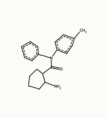 Cc1ccc(N(C(=O)C2CCCCC2N)c2ccccc2)cc1